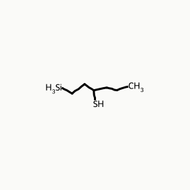 CCCC(S)CC[SiH3]